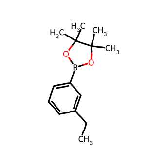 CCc1cccc(B2OC(C)(C)C(C)(C)O2)c1